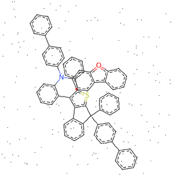 c1ccc(-c2ccc(N(c3ccc4c(c3)oc3ccccc34)c3ccccc3-c3c(-c4ccccc4)sc4c3-c3ccccc3C4(c3ccccc3)c3ccc(-c4ccccc4)cc3)cc2)cc1